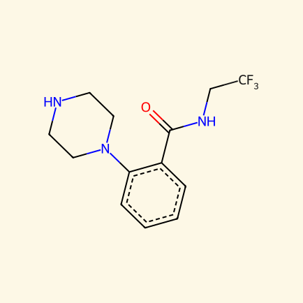 O=C(NCC(F)(F)F)c1ccccc1N1CCNCC1